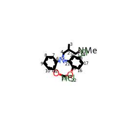 CNCC(C)CN1c2ccccc2OCOc2ccc(Cl)cc21.Cl